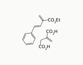 C=C(C=Cc1ccccc1)C(=O)OCC.C=C(CC(=O)O)C(=O)O